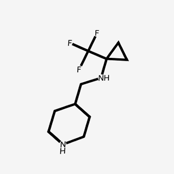 FC(F)(F)C1(NCC2CCNCC2)CC1